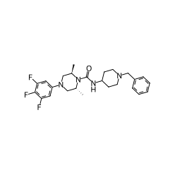 C[C@@H]1CN(c2cc(F)c(F)c(F)c2)C[C@@H](C)N1C(=O)NC1CCN(Cc2ccccc2)CC1